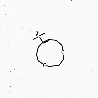 C[Si](C)(C)C1=CCCCCCCCCCC1